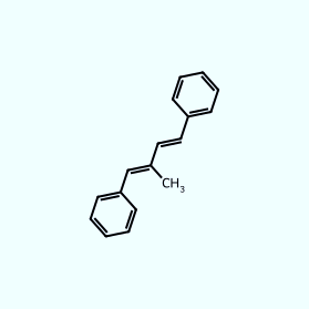 CC(/C=C/c1ccccc1)=C\c1ccccc1